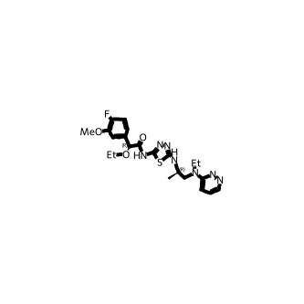 CCO[C@@H](C(=O)Nc1nnc(N[C@H](C)CN(CC)c2cccnn2)s1)c1ccc(F)c(OC)c1